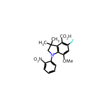 COc1cc(F)c(C(=O)O)c2c1N(c1ccccc1[N+](=O)[O-])CC2(C)C